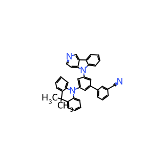 CC1(C)c2ccccc2N(c2cc(-c3cccc(C#N)c3)cc(-n3c4ccccc4c4cnccc43)c2)c2ccccc21